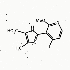 COc1nccc(I)c1-c1nc(C)c(C(=O)O)[nH]1